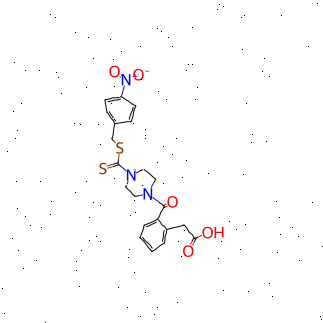 O=C(O)Cc1ccccc1C(=O)N1CCN(C(=S)SCc2ccc([N+](=O)[O-])cc2)CC1